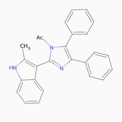 CC(=O)n1c(-c2c(C)[nH]c3ccccc23)nc(-c2ccccc2)c1-c1ccccc1